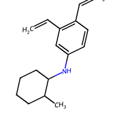 C=Cc1ccc(NC2CCCCC2C)cc1C=C